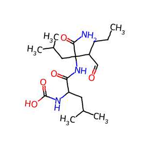 CCCC(C=O)C(CC(C)C)(NC(=O)C(CC(C)C)NC(=O)O)C(N)=O